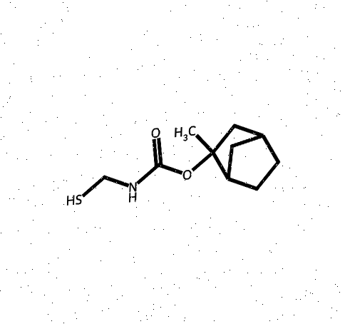 CC1(OC(=O)NCS)CC2CCC1C2